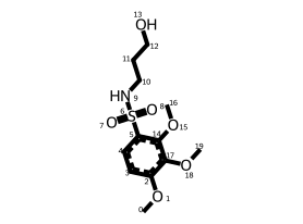 COc1ccc(S(=O)(=O)NCCCO)c(OC)c1OC